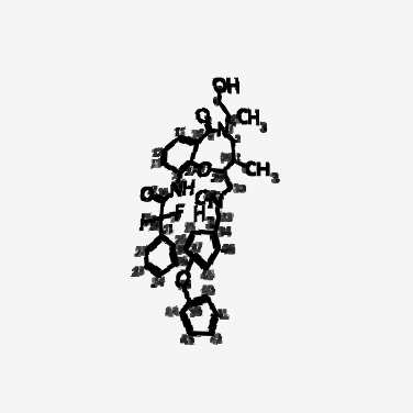 C[C@@H]1CN([C@@H](C)CO)C(=O)c2cccc(NC(=O)C(F)(F)c3ccccc3)c2O[C@@H]1CN(C)Cc1ccc(Oc2ccccc2)cc1